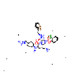 CN(C)CCCC[C@@H](NC1CCC(CN)CC1)C(=O)N1CCN(C(=O)Oc2ccccc2Cl)C[C@H]1C(=O)NCc1cccs1